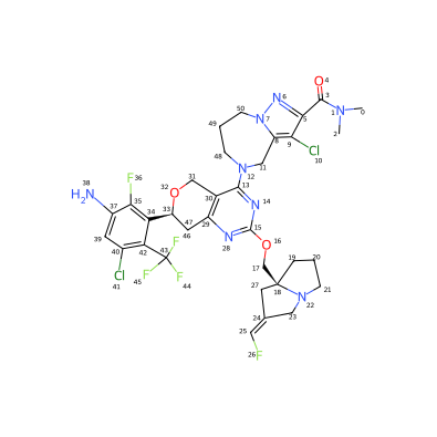 CN(C)C(=O)c1nn2c(c1Cl)CN(c1nc(OC[C@@]34CCCN3C/C(=C\F)C4)nc3c1CO[C@H](c1c(F)c(N)cc(Cl)c1C(F)(F)F)C3)CCC2